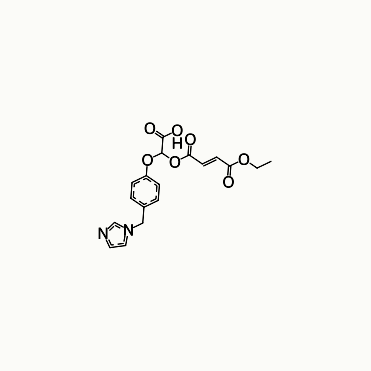 CCOC(=O)/C=C/C(=O)OC(Oc1ccc(Cn2ccnc2)cc1)C(=O)O